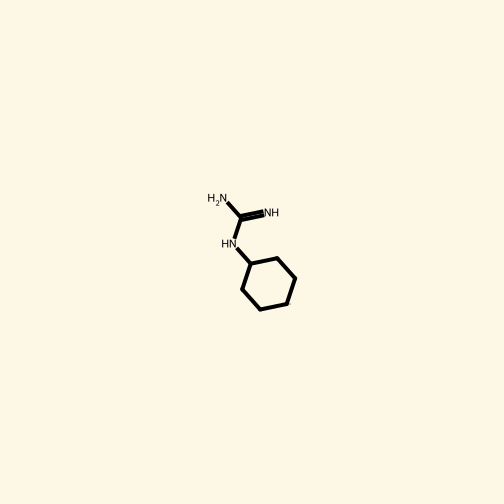 N=C(N)NC1CC[CH]CC1